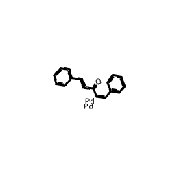 O=C(C=Cc1ccccc1)/C=C\c1ccccc1.[Pd].[Pd]